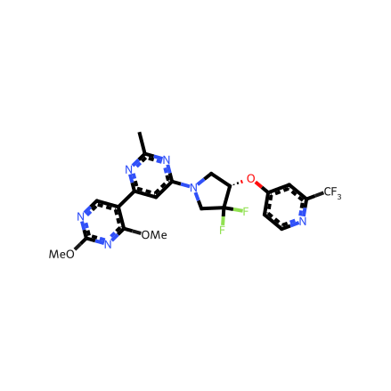 COc1ncc(-c2cc(N3C[C@H](Oc4ccnc(C(F)(F)F)c4)C(F)(F)C3)nc(C)n2)c(OC)n1